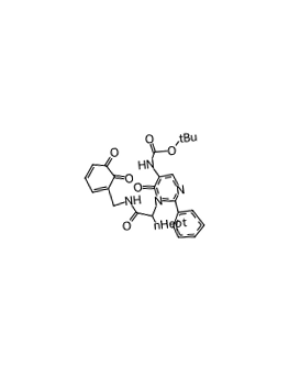 CCCCCCCC(C(=O)NCC1=CC=CC(=O)C1=O)n1c(-c2ccccc2)ncc(NC(=O)OC(C)(C)C)c1=O